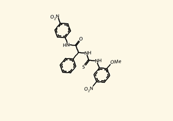 COc1ccc([N+](=O)[O-])cc1NC(=S)NC(C(=O)Nc1ccc([N+](=O)[O-])cc1)c1ccccc1